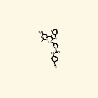 Cc1nc(N)cc(-c2c(Nc3ccn(C(=O)Nc4ccc(C#N)cc4)n3)nc3cccnn23)n1